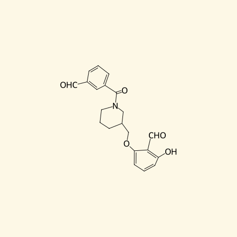 O=Cc1cccc(C(=O)N2CCCC(COc3cccc(O)c3C=O)C2)c1